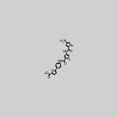 COC(=O)c1ccc(-c2ccc(NC(=O)c3cc(NC(=O)c4cc(N)cn4C)cn3C)cc2)o1